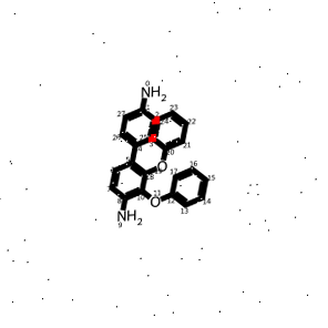 Nc1ccc(-c2ccc(N)c(Oc3ccccc3)c2Oc2ccccc2)cc1